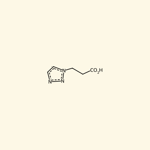 O=C(O)CCn1[c]cnn1